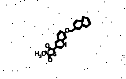 CN1C(=O)SC(c2cnc3cc(OCc4ccc5ccccc5c4)ccc3c2)C1=O